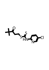 CC(C)(C)C(=O)CCSC(=S)Nc1ccc(Cl)cn1